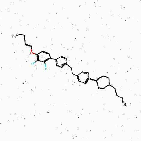 C=CCCC1CCC(c2ccc(CCc3ccc(-c4ccc(OCCCC)c(F)c4F)cc3)cc2)CC1